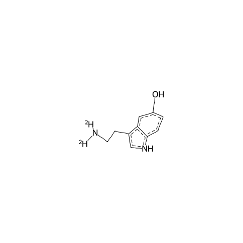 [2H]N([2H])CCc1c[nH]c2ccc(O)cc12